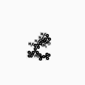 Cc1cc(CN(c2ccccc2)c2cc(C)c3c(c2)C(C)(C)c2cc4c(cc2-3)C(C)(C)c2cc(N(c3ccccc3)c3cccc(C)c3)cc(C)c2-4)cc(-c2ccc(N(c3ccc(N(c4ccccc4)c4cccc5ccccc45)cc3)c3ccc4c(c3)C(C)(C)c3cc(N(c5ccccc5)c5ccc(N(c6ccccc6)c6cccc7ccccc67)cc5)ccc3-4)cc2)c1